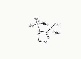 CC(C)(C)C(P)(c1ccccc1C(P)(C(C)(C)C)C(C)(C)C)C(C)(C)C